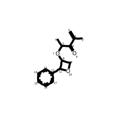 C=C(C)C(=O)C(C)OC1COC1c1ccccc1